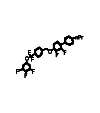 CCCc1ccc(-c2ccc(OCc3ccc(C(F)(F)Oc4cc(F)c(F)c(F)c4)cc3)c(F)c2F)cc1